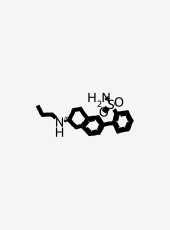 CCCN[C@@H]1CCc2cc(-c3ccccc3S(N)(=O)=O)ccc2C1